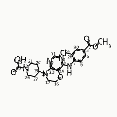 COC(=O)c1ccc(Nc2ncnc3c2OCCN3C2CCN(C(=O)O)CC2)c(Cl)c1